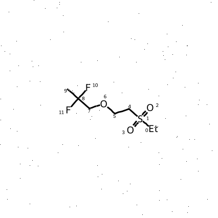 CCS(=O)(=O)CCOCC(C)(F)F